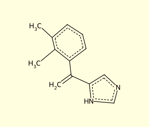 C=C(c1cnc[nH]1)c1cccc(C)c1C